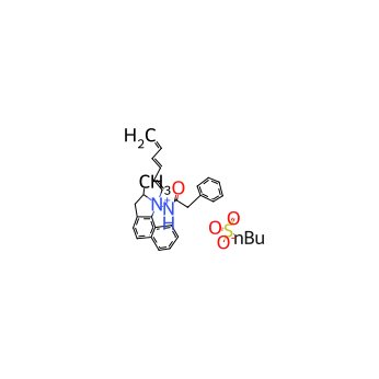 C=CC=CC=C[N+]1(NC(=O)Cc2ccccc2)c2c(ccc3ccccc23)CC1C.CCCCS(=O)(=O)[O-]